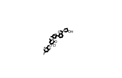 Cc1cnc(-c2cccc3c2OCC3N2CCC(O)C2)cc1-n1c(C)cc(OCc2ncc(F)cc2F)c(Cl)c1=O